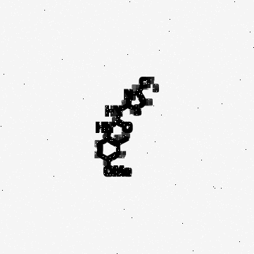 COc1ccc(NC(=O)Nc2nc(C(F)(F)F)cs2)c(C)c1